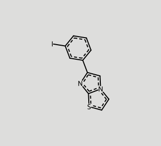 Ic1cccc(-c2cn3ccsc3n2)c1